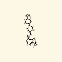 CC1CCC(C2CCC(COc3cccc(C(F)(F)F)c3F)CC2)CC1